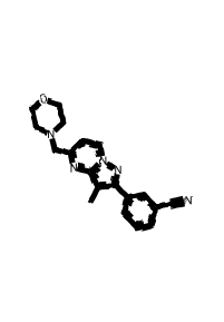 Cc1c(-c2cccc(C#N)c2)nn2ccc(CN3CCOCC3)nc12